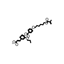 C=C(C)C(=O)OCCCCCCOc1ccc(C(=O)Oc2ccc(C=CC(=O)OC)cc2OCCC)cc1